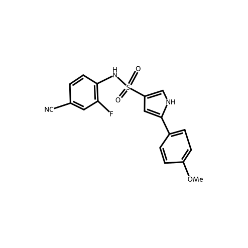 COc1ccc(-c2cc(S(=O)(=O)Nc3ccc(C#N)cc3F)c[nH]2)cc1